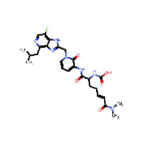 CC(C)Cc1ncc(F)c2[nH]c(Cn3cccc(NC(=O)C(CC/C=C/C(=O)N(C)C)NC(=O)O)c3=O)nc12